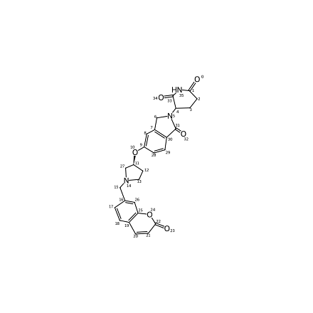 O=C1CCC(N2Cc3cc(O[C@H]4CCN(Cc5ccc6ccc(=O)oc6c5)C4)ccc3C2=O)C(=O)N1